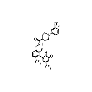 O=C(NCc1ccc(C(F)(F)F)c(-c2nc(C(F)(F)F)cc(=O)[nH]2)c1F)C1CCN(c2cccc(C(F)(F)F)c2)CC1